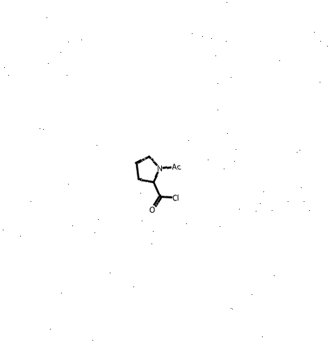 CC(=O)N1CCCC1C(=O)Cl